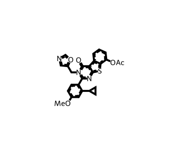 COc1ccc(-c2nc3sc4c(OC(C)=O)cccc4c3c(=O)n2Cc2cnco2)c(C2CC2)c1